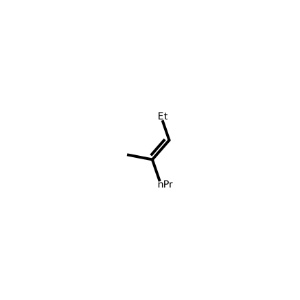 [CH2]CC=C(C)CCC